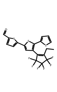 CCC1=C(c2cc(-c3ccc(C=O)s3)sc2-c2cccs2)C(F)(F)C(F)(F)C1(F)F